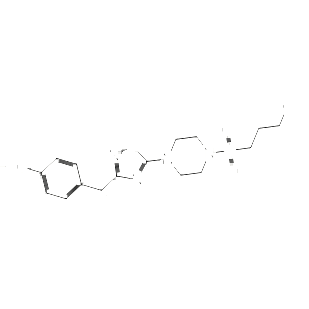 CCCCS(=O)(=O)N1CCN(c2nc(Cc3ccc(C)cc3)ns2)CC1